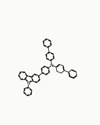 C1=C=C(C2=CC=C(N(c3ccc(-c4ccccc4)cc3)c3ccc(-c4ccc5c(c4)c4ccccc4n5-c4ccccc4)cc3)CC2)C=CC=1